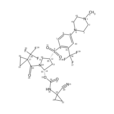 CN1CCN(c2ccc(S(=O)(=O)[C@@H]3C[C@H](OC(=O)NC4(C#N)CC4)N(C(=O)C4(C(F)(F)F)CC4)C3)c(C(F)(F)F)c2)CC1